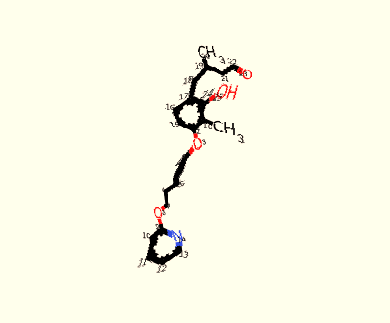 Cc1c(OCCCCOc2ccccn2)ccc(CC(C)CC=O)c1O